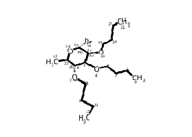 CCCCOC1[C@H](OCCCC)C(C)O[C@H](Br)[C@H]1OCCCC